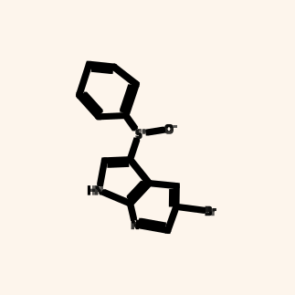 [O-][S+](c1ccccc1)c1c[nH]c2ncc(Br)cc12